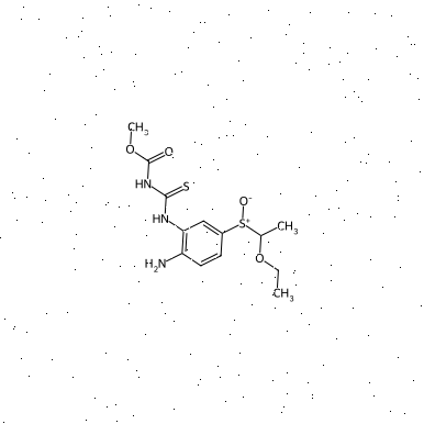 CCOC(C)[S+]([O-])c1ccc(N)c(NC(=S)NC(=O)OC)c1